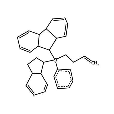 C=CCC[Si](c1ccccc1)(C1CCC2C=CC=CC21)C1C2C=CC=CC2C2C=CC=CC21